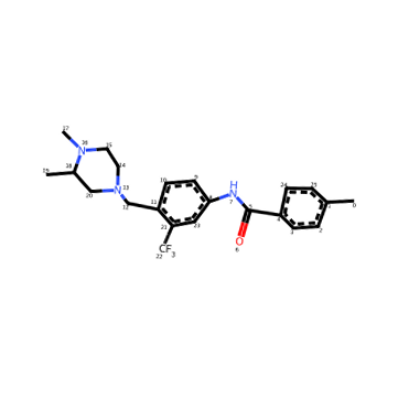 Cc1ccc(C(=O)Nc2ccc(CN3CCN(C)C(C)C3)c(C(F)(F)F)c2)cc1